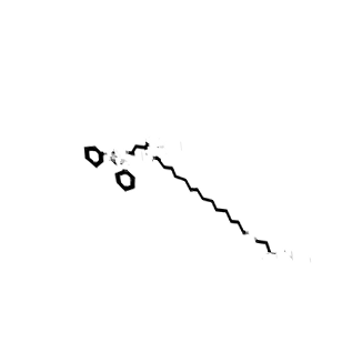 CCCCCCCCC[C@@H](O)CCOCCCCCCCCCCCCCC(=O)NC(CCOP(=O)(Oc1ccccc1)Oc1ccccc1)C(=O)O